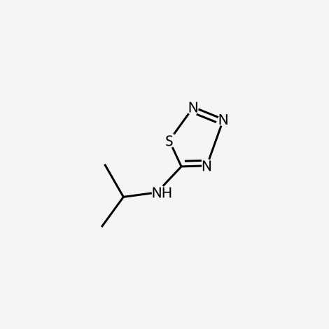 CC(C)Nc1nnns1